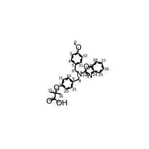 COc1ccc(CN(Cc2ccc(OC(C)(C)C(=O)O)cc2)c2nc3ccccc3o2)cc1